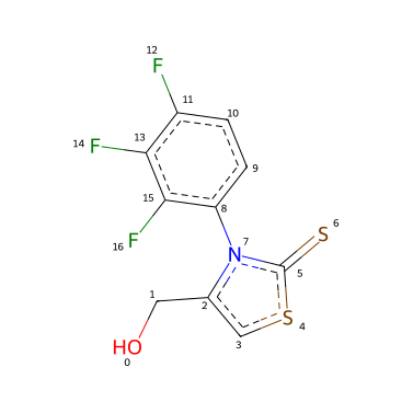 OCc1csc(=S)n1-c1ccc(F)c(F)c1F